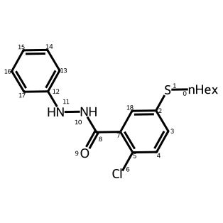 CCCCCCSc1ccc(Cl)c(C(=O)NNc2ccccc2)c1